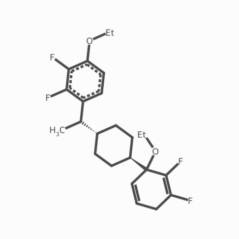 CCOc1ccc(C(C)[C@H]2CC[C@H](C3(OCC)C=CCC(F)=C3F)CC2)c(F)c1F